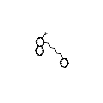 CC(C)c1ccc2ccccc2c1CCCCCc1ccccc1